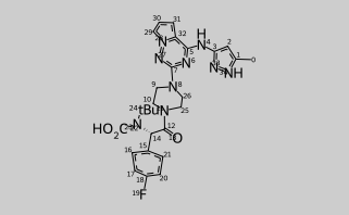 Cc1cc(Nc2nc(N3CCN(C(=O)[C@H](c4ccc(F)cc4)N(C(=O)O)C(C)(C)C)CC3)nn3cccc23)n[nH]1